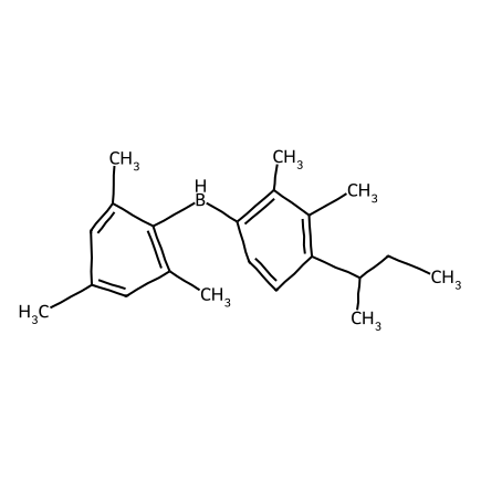 CCC(C)c1ccc(Bc2c(C)cc(C)cc2C)c(C)c1C